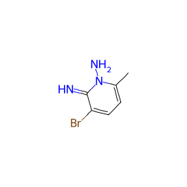 Cc1ccc(Br)c(=N)n1N